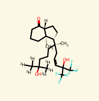 [2H]C([2H])([2H])C(O)(CCC[C@](C)(CC=CC(O)(C(F)(F)F)C(F)(F)F)[C@H]1CC[C@H]2C(=O)CCC[C@]12C)C([2H])([2H])[2H]